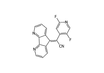 N#CC(=C1c2cccnc2-c2ncccc21)c1cc(F)ncc1F